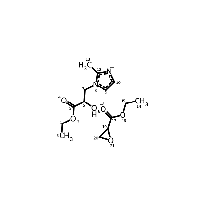 CCOC(=O)C(O)Cn1ccnc1C.CCOC(=O)C1CO1